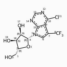 OC[C@H]1O[C@@H](n2cc(C(F)(F)F)c3c(Cl)ncnc32)[C@H](O)[C@@H]1O